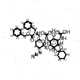 [N-]=[N+]=N[C@@H]1CC[C@@H](CN(Cc2ccccc2)C(=O)OCc2ccccc2)O[C@@H]1O[C@@H]1[C@@H](NC(=O)O)[C@H](O)[C@@H](NC(=O)O)[C@@H]2OC3(CCCCC3)O[C@@H]12